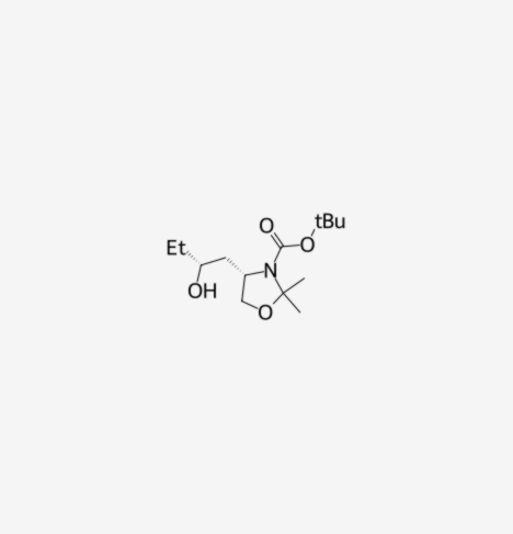 CC[C@@H](O)C[C@H]1COC(C)(C)N1C(=O)OC(C)(C)C